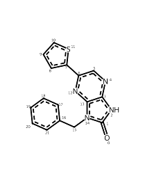 O=c1[nH]c2ncc(-c3cccs3)nc2n1Cc1ccccc1